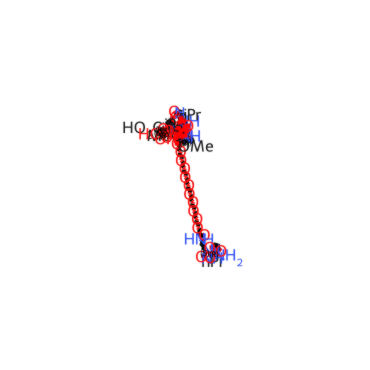 CCCNC(=O)[C@H](CCCCNC(=O)CCOCCOCCOCCOCCOCCOCCOCCOCCOCCOCCOCCOC(=O)Nc1cc(COC(=O)N(C)[C@H](C(=O)N[C@H](C(=O)N(C)[C@@H]([C@@H](C)CC)[C@@H](CC(=O)N2CCC[C@H]2[C@H](OC)[C@@H](C)C(=O)N[C@H](C)[C@@H](O)c2ccccc2)OC)C(C)C)C(C)C)ccc1O[C@@H]1O[C@@H](C(=O)O)[C@@H](O)[C@H](O)[C@H]1O)NC(=O)[C@@H](CN)N1C(=O)C=CC1=O